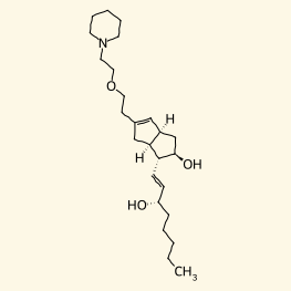 CCCCC[C@H](O)/C=C/[C@@H]1[C@H]2CC(CCOCCN3CCCCC3)=C[C@H]2C[C@H]1O